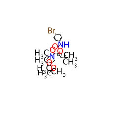 CC(C)C[C@H](OC(=O)Nc1ccc(Br)cc1)C(=O)N(CC(=O)OC(C)(C)C)C(C)C